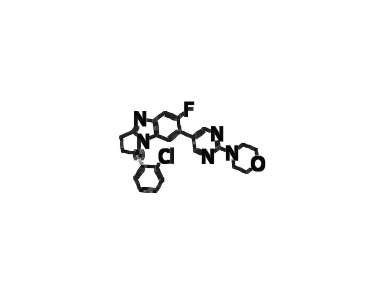 Fc1cc2nc3n(c2cc1-c1cnc(N2CCOCC2)nc1)[C@H](c1ccccc1Cl)CC3